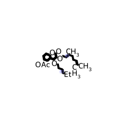 CC/C=C/CCOc1c(OC/C=C(\C)CCC=C(C)C)c(=O)oc2cccc(OC(C)=O)c12